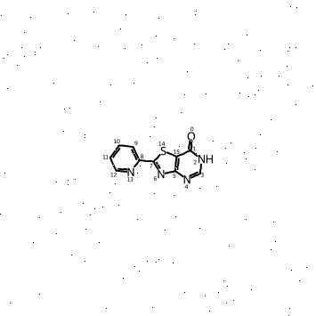 O=c1[nH]cnc2nc(-c3ccccn3)sc12